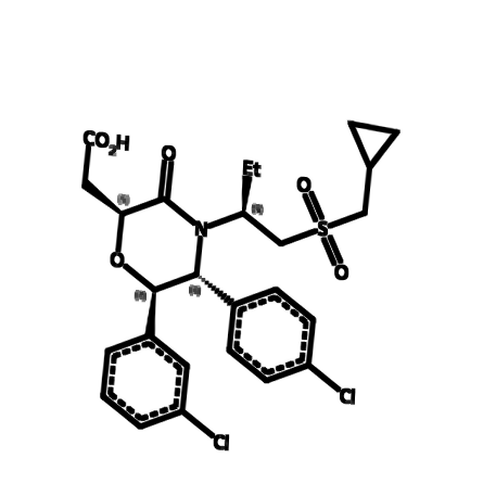 CC[C@@H](CS(=O)(=O)CC1CC1)N1C(=O)[C@H](CC(=O)O)O[C@H](c2cccc(Cl)c2)[C@H]1c1ccc(Cl)cc1